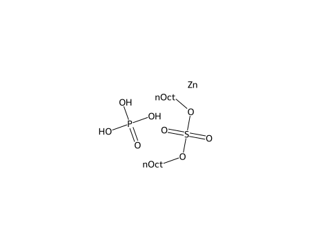 CCCCCCCCOS(=O)(=O)OCCCCCCCC.O=P(O)(O)O.[Zn]